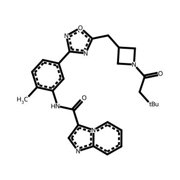 Cc1ccc(-c2noc(CC3CN(C(=O)CC(C)(C)C)C3)n2)cc1NC(=O)c1cnc2ccccn12